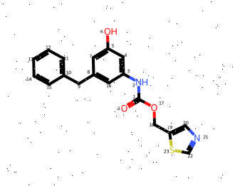 O=C(Nc1cc(O)cc(Cc2ccccc2)c1)OCc1cncs1